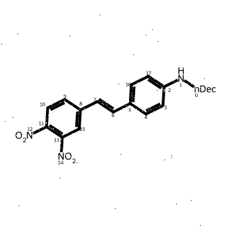 CCCCCCCCCCNc1ccc(C=Cc2ccc([N+](=O)[O-])c([N+](=O)[O-])c2)cc1